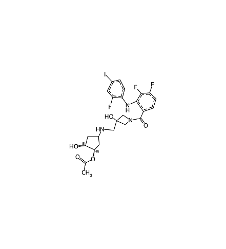 CC(=O)O[C@@H]1CC(NCC2(O)CN(C(=O)c3ccc(F)c(F)c3Nc3ccc(I)cc3F)C2)C[C@@H]1O